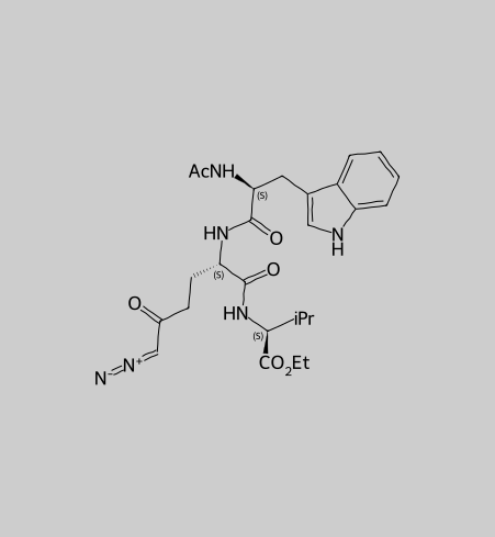 CCOC(=O)[C@@H](NC(=O)[C@H](CCC(=O)C=[N+]=[N-])NC(=O)[C@H](Cc1c[nH]c2ccccc12)NC(C)=O)C(C)C